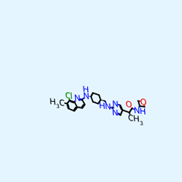 Cc1ccc2ccc(N[C@H]3CC[C@H](CNc4ncc(C(C)C(=O)NC5COC5)cn4)CC3)nc2c1Cl